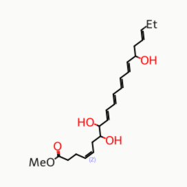 CCC=CCC(O)C=CC=CC=CC=CC(O)C(O)C/C=C\CCC(=O)OC